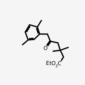 CCOC(=O)CC(C)(C)CC(=O)Cc1cc(C)ccc1C